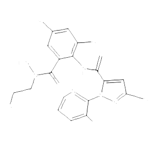 NN(CCO)C(=O)c1cc(Br)cc(Br)c1NC(=O)c1cc(Br)nn1-c1ncccc1Cl